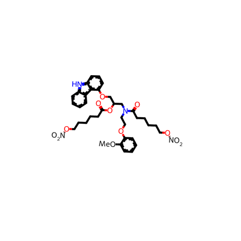 COc1ccccc1OCCN(CC(COc1cccc2[nH]c3ccccc3c12)OC(=O)CCCCCO[N+](=O)[O-])C(=O)CCCCCO[N+](=O)[O-]